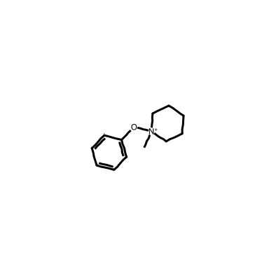 C[N+]1(Oc2[c]cccc2)CCCCC1